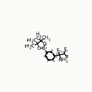 CC1(C)OB(c2cccc(C(N)(F)C(F)F)c2)OC1(C)C